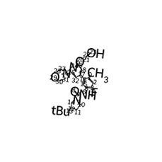 Cc1cc(F)c(NC(=O)N2CCC(C(C)(C)C)C2)cc1-c1cc(OCCO)nc(N2CCOCC2)c1